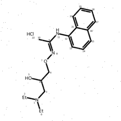 CCN(CC)CC(O)CON=C(C)Nc1cccc2ccccc12.Cl